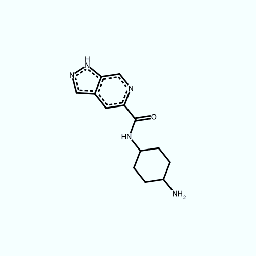 NC1CCC(NC(=O)c2cc3cn[nH]c3cn2)CC1